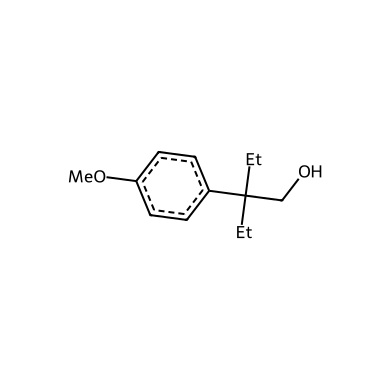 CCC(CC)(CO)c1ccc(OC)cc1